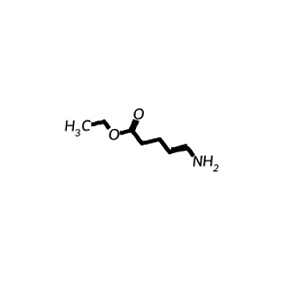 CCOC(=O)CCC=CN